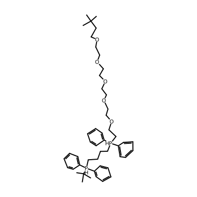 CC(C)(C)CCOCCOCCOCCOCCOCC[PH](CCCC[PH](c1ccccc1)(c1ccccc1)C(C)(C)C)(c1ccccc1)c1ccccc1